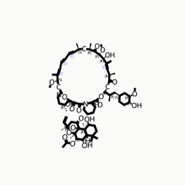 C=C[C@@]1(C)CC(=O)[C@]2(O)[C@@]3(C)[C@@H](O)CCC(C)(C)[C@@H]3[C@H](O)[C@H](OC(C)=O)[C@@]2(C)O1.CO[C@H]1C[C@@H]2CC[C@@H](C)[C@@](O)(O2)C(=O)C(=O)N2CCCC[C@H]2C(=O)O[C@H]([C@H](C)C[C@@H]2CC[C@@H](O)[C@H](OC)C2)CC(=O)[C@H](C)/C=C(\C)[C@@H](O)[C@@H](OC)C(=O)[C@H](C)C[C@H](C)/C=C/C=C/C=C/1C